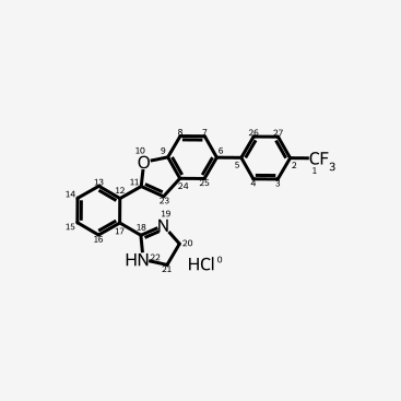 Cl.FC(F)(F)c1ccc(-c2ccc3oc(-c4ccccc4C4=NCCN4)cc3c2)cc1